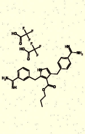 CCCOC(=O)c1c(Cc2ccc(C(=N)N)cc2)c[nH]c1Cc1cccc(C(=N)N)c1.O=C(O)C(F)(F)F.O=C(O)C(F)(F)F